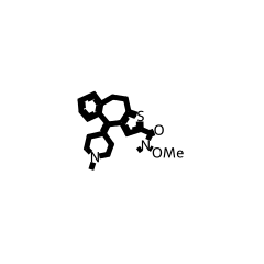 CON(C)C(=O)c1cc2c(s1)CCc1ccccc1C2=C1CCN(C)CC1